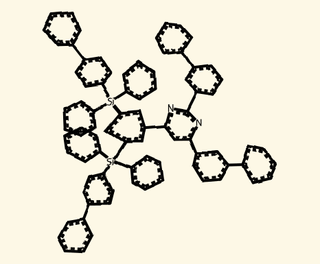 c1ccc(-c2ccc([Si](c3ccccc3)(c3ccccc3)c3cc(-c4cc(-c5cccc(-c6ccccc6)c5)nc(-c5cccc(-c6ccccc6)c5)n4)cc([Si](c4ccccc4)(c4ccccc4)c4ccc(-c5ccccc5)cc4)c3)cc2)cc1